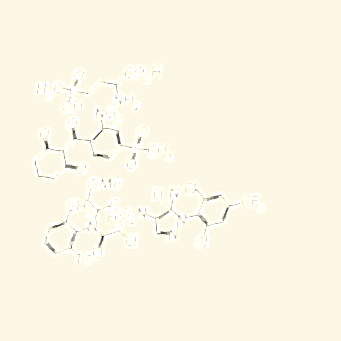 CCc1cccc(C)c1N(C(=O)CCl)C(C)COC.CP(=O)(O)CCC(N)C(=O)O.CS(=O)(=O)c1ccc(C(=O)C2C(=O)CCCC2=O)c([N+](=O)[O-])c1.Nc1c([N+](=O)[O-])cnn1-c1c(Cl)cc(C(F)(F)F)cc1Cl